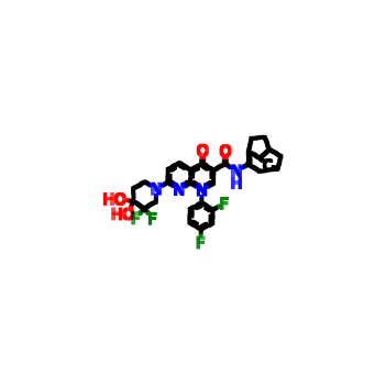 O=C(NC1=C2CCC3CC(C1)CC23)c1cn(-c2ccc(F)cc2F)c2nc(N3CCC(O)(O)C(F)(F)C3)ccc2c1=O